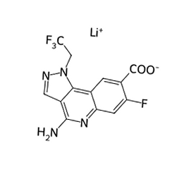 Nc1nc2cc(F)c(C(=O)[O-])cc2c2c1cnn2CC(F)(F)F.[Li+]